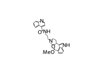 COC(=O)c1cccc2[nH]cc(C3CCN(CCCNC(=O)c4ccnc5ccccc45)CC3)c12